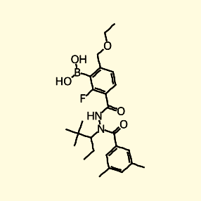 CCOCc1ccc(C(=O)NN(C(=O)c2cc(C)cc(C)c2)C(CC)C(C)(C)C)c(F)c1B(O)O